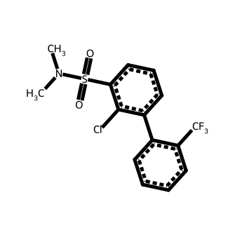 CN(C)S(=O)(=O)c1cccc(-c2ccccc2C(F)(F)F)c1Cl